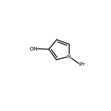 CC(C)n1ccc(N=O)c1